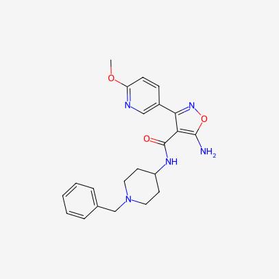 COc1ccc(-c2noc(N)c2C(=O)NC2CCN(Cc3ccccc3)CC2)cn1